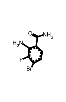 NC(=O)c1ccc(Br)c(F)c1N